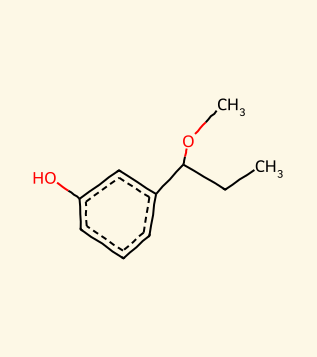 CCC(OC)c1cccc(O)c1